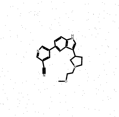 COCCN1CCC(c2c[nH]c3ccc(-c4cncc(C#N)c4)cc23)C1